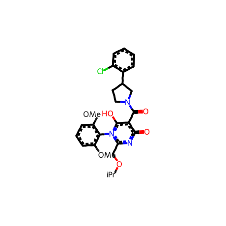 COc1cccc(OC)c1-n1c(COC(C)C)nc(=O)c(C(=O)N2CCC(c3ccccc3Cl)C2)c1O